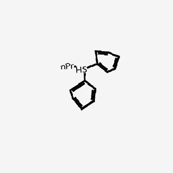 CCC[SH](c1ccccc1)c1ccccc1